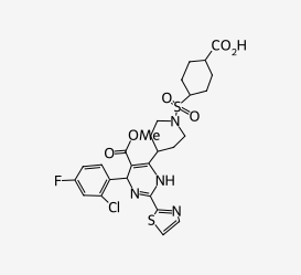 COC(=O)C1=C(C2CCN(S(=O)(=O)C3CCC(C(=O)O)CC3)CC2)NC(c2nccs2)=NC1c1ccc(F)cc1Cl